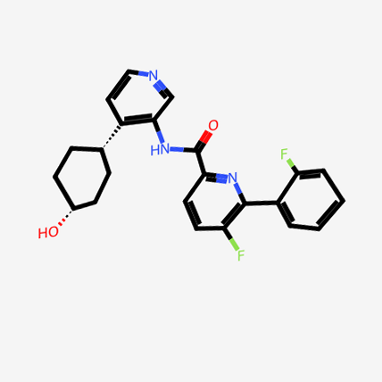 O=C(Nc1cnccc1[C@H]1CC[C@@H](O)CC1)c1ccc(F)c(-c2ccccc2F)n1